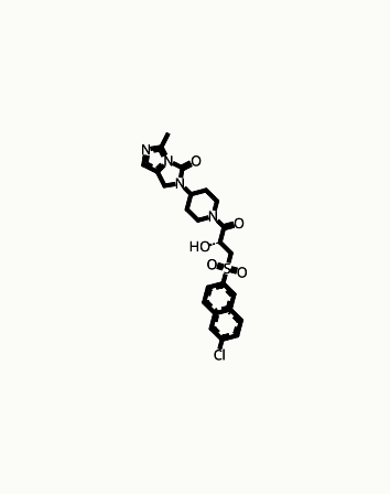 Cc1ncc2n1C(=O)N(C1CCN(C(=O)[C@@H](O)CS(=O)(=O)c3ccc4cc(Cl)ccc4c3)CC1)C2